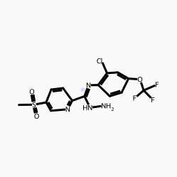 CS(=O)(=O)c1ccc(/C(=N/c2ccc(OC(F)(F)F)cc2Cl)NN)nc1